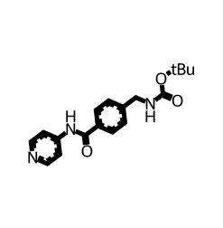 CC(C)(C)OC(=O)NCc1ccc(C(=O)Nc2ccncc2)cc1